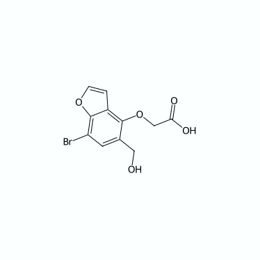 O=C(O)COc1c(CO)cc(Br)c2occc12